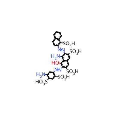 Nc1cc(N=Nc2c(S(=O)(=O)O)cc3cc(S(=O)(=O)O)c(N=Nc4ccc5ccccc5c4S(=O)(=O)O)c(N)c3c2O)c(S(=O)(=O)O)cc1S(=O)(=O)O